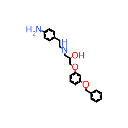 Nc1ccc(CCNC[C@H](O)COc2cccc(OCc3ccccc3)c2)cc1